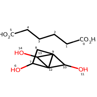 O=C(O)CCCCC(=O)O.OC1CC23C(O)C12C3O